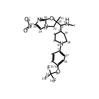 CNC(C1CCN(c2ccc(OC(F)(F)F)cc2)CC1)C1(C)Cn2cc([N+](=O)[O-])nc2O1